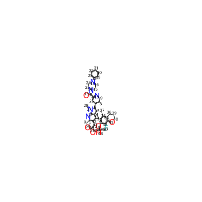 Cc1nc2c(cc(-c3ccnc(C(=O)N4CCN(c5ccccc5)CC4)c3)n2C)c(-c2cc(F)c3c(c2C)CCCO3)c1[C@H](OC(C)(C)C)C(=O)O